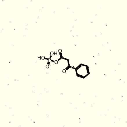 O=C(CC(=O)c1ccccc1)OP(=O)(O)O